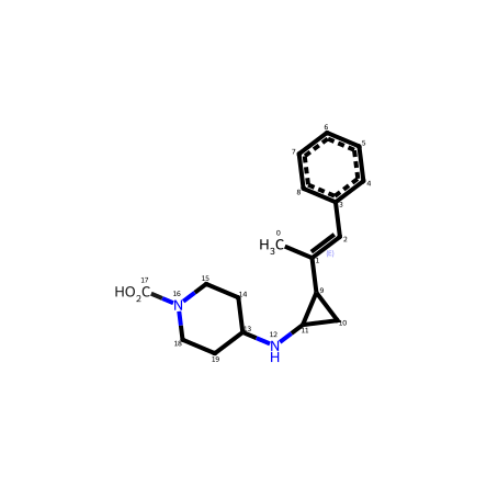 C/C(=C\c1ccccc1)C1CC1NC1CCN(C(=O)O)CC1